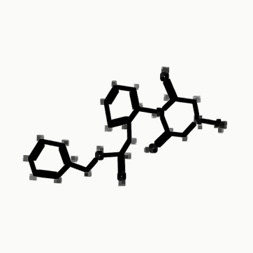 CC(=O)N1CC(=O)N(c2ccccc2CC(=O)OCc2ccccc2)C(=O)C1